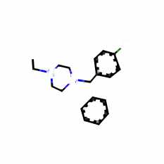 CCN1CCN([C@@H](c2ccccc2)c2ccc(Cl)cc2)CC1